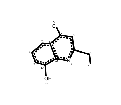 CCc1cc(Cl)c2cccc(O)c2n1